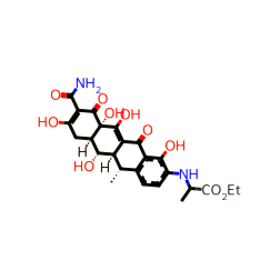 CCOC(=O)C(C)Nc1ccc2c(c1O)C(=O)C1=C(O)[C@]3(O)C(=O)C(C(N)=O)=C(O)C[C@@H]3[C@@H](O)[C@@H]1[C@H]2C